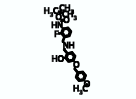 COc1ccc(COc2ccc(CNCc3cccc(NC(=O)OC(C)(C)C)c3F)c(O)c2)cc1